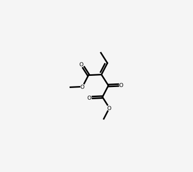 CC=C(C(=O)OC)C(=O)C(=O)OC